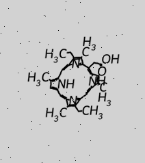 CCC1=C(C)c2cc3cc(C)c(cc4nc(c(CC(=O)O)c5cc(C)c(cc1n2)[nH]5)C(C)=C4CC)[nH]3